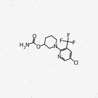 NC(=O)OC1CCCN(c2ncc(Cl)cc2C(F)(F)F)C1